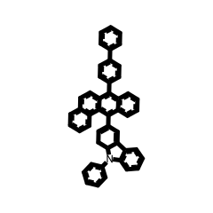 C1=C(c2c3ccccc3c(-c3ccc(-c4ccccc4)cc3)c3ccc4ccccc4c23)C=C2c3ccccc3N(c3ccccc3)C2C1